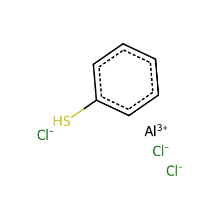 Sc1ccccc1.[Al+3].[Cl-].[Cl-].[Cl-]